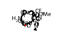 CO[C@@H](C)C1=C(c2c3c4cc(ccc4n2CC(F)(F)F)N2CCO[C@@H](C[C@H](N)C(=O)N4CCC[C@H](N4)C(=O)OCC(C)(C)C3)C2)CC(N2CCN(C3CC3)CC2)C=N1